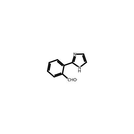 O=[C]c1ccccc1-c1ncc[nH]1